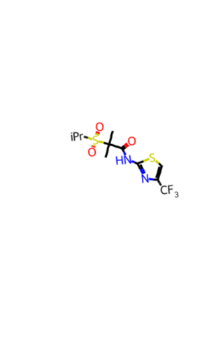 CC(C)S(=O)(=O)C(C)(C)C(=O)Nc1nc(C(F)(F)F)cs1